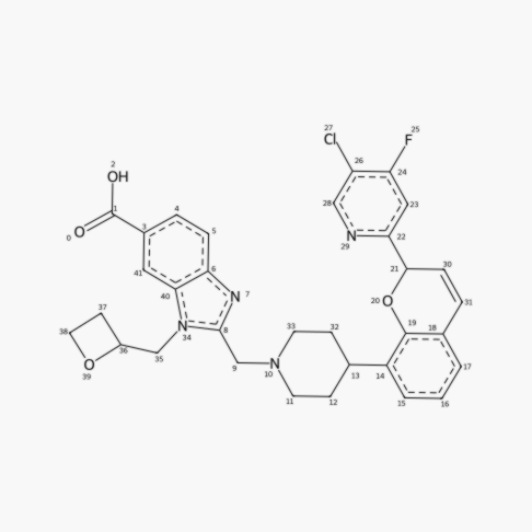 O=C(O)c1ccc2nc(CN3CCC(c4cccc5c4OC(c4cc(F)c(Cl)cn4)C=C5)CC3)n(CC3CCO3)c2c1